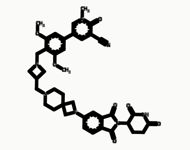 COc1cc(-c2cc(C#N)c(=O)n(C)c2)cc(OC)c1CN1CC(CN2CCC3(CC2)CN(c2ccc4c(c2)C(=O)N(C2CCC(=O)NC2=O)C4=O)C3)C1